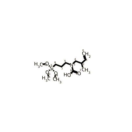 C=CC(C)CN(CCC[Si](OC)(OC)OC)C(=O)O